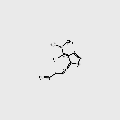 C=CCC=C=c1[nH]cc/c1=C(/C)N(C)C